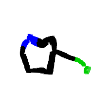 Cl[CH]c1cccnc1